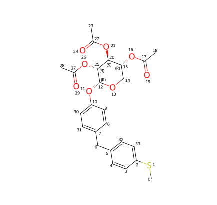 CSc1ccc(Cc2ccc(O[C@H]3OC[C@@H](OC(C)=O)[C@H](OC(C)=O)[C@H]3OC(C)=O)cc2)cc1